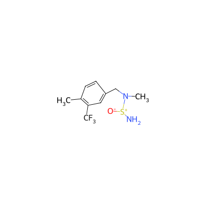 Cc1ccc(CN(C)[S+](N)[O-])cc1C(F)(F)F